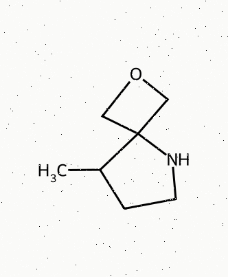 CC1CCNC12COC2